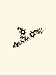 CCOC(Cc1ccc(OCCN(CCOCC(F)(F)CC)C(=O)Oc2ccc(C(C)C)cc2)cc1)C(=O)O